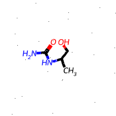 CC(CO)NC(N)=O